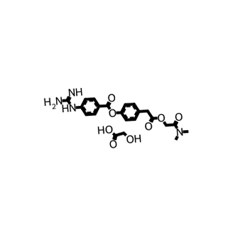 CN(C)C(=O)COC(=O)Cc1ccc(OC(=O)c2ccc(NC(=N)N)cc2)cc1.O=C(O)CO